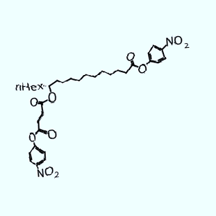 CCCCCC[C@H](CCCCCCCCCCC(=O)Oc1ccc([N+](=O)[O-])cc1)OC(=O)CCC(=O)Oc1ccc([N+](=O)[O-])cc1